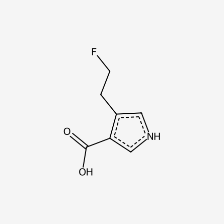 O=C(O)c1c[nH]cc1CCF